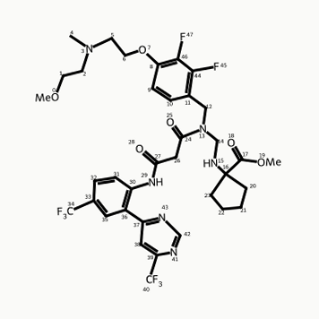 COCCN(C)CCOc1ccc(CN(CNC2(C(=O)OC)CCCC2)C(=O)CC(=O)Nc2ccc(C(F)(F)F)cc2-c2cc(C(F)(F)F)ncn2)c(F)c1F